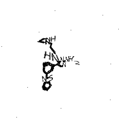 Nc1ncc(-c2cccc(-c3nc4ccccc4s3)c2)c(NCCCN2CCCN2)n1